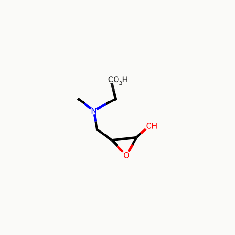 CN(CC(=O)O)CC1OC1O